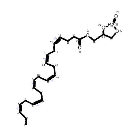 CC/C=C\C/C=C\C/C=C\C/C=C\C/C=C\C/C=C\CCC(=O)OCC1CO[PH](=O)O1